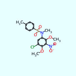 COc1c(Cl)cc(N(C)S(=O)(=O)c2ccc(C)cc2)c(OC)c1[N+](=O)[O-]